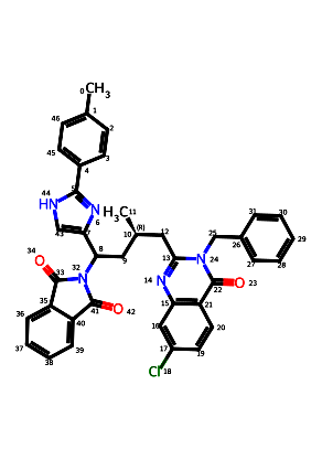 Cc1ccc(-c2nc(C(C[C@@H](C)Cc3nc4cc(Cl)ccc4c(=O)n3Cc3ccccc3)N3C(=O)c4ccccc4C3=O)c[nH]2)cc1